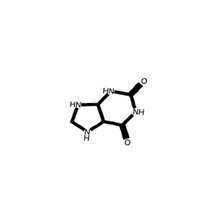 O=C1NC(=O)C2NCNC2N1